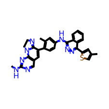 CNc1ncc2c(n1)N1CCN=C1C(c1ccc(Nc3nnc(-c4cc(C)cs4)c4ccccc34)cc1C)=C2